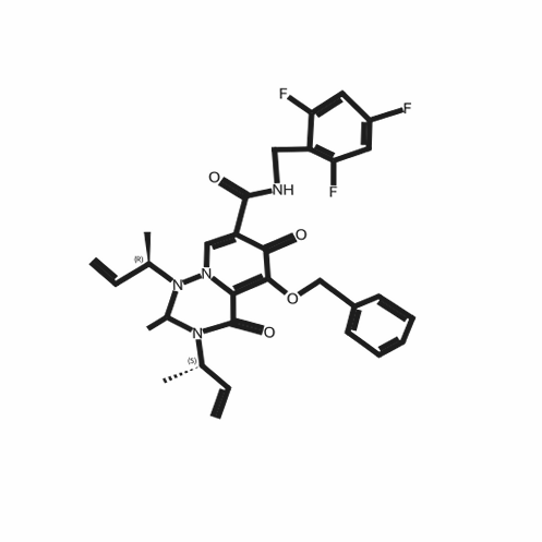 C=C[C@@H](C)N1C(C)N([C@@H](C)C=C)C(=O)c2c(OCc3ccccc3)c(=O)c(C(=O)NCc3c(F)cc(F)cc3F)cn21